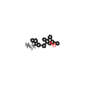 CC1(C)c2ccc(-c3cccc(-c4c5ccccc5c(-c5ccccc5-c5ccc6oc7ccccc7c6c5)c5ccccc45)c3)cc2-c2ccc3ccccc3c21